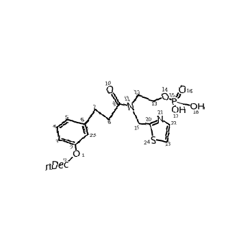 CCCCCCCCCCOc1cccc(CCC(=O)N(CCOP(=O)(O)O)Cc2nccs2)c1